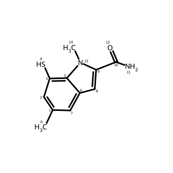 Cc1cc(S)c2c(c1)cc(C(N)=O)n2C